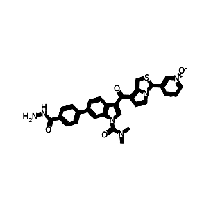 CN(C)C(=O)n1cc(C(=O)c2ccn3c2CSC3c2ccc[n+]([O-])c2)c2ccc(-c3ccc(C(=O)NN)cc3)cc21